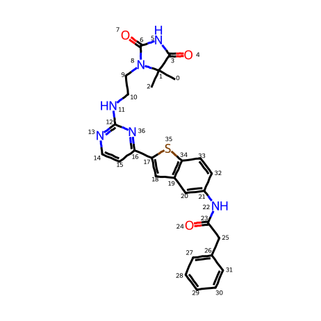 CC1(C)C(=O)NC(=O)N1CCNc1nccc(-c2cc3cc(NC(=O)Cc4ccccc4)ccc3s2)n1